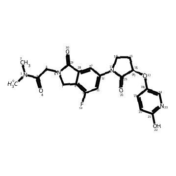 CN(C)C(=O)CN1Cc2c(F)cc(N3CC[C@@H](Oc4ccc(O)nc4)C3=O)cc2C1=O